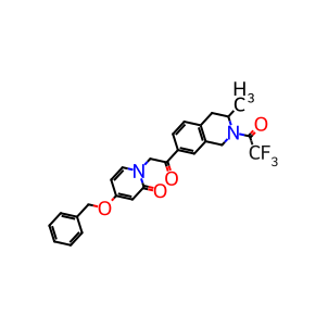 CC1Cc2ccc(C(=O)Cn3ccc(OCc4ccccc4)cc3=O)cc2CN1C(=O)C(F)(F)F